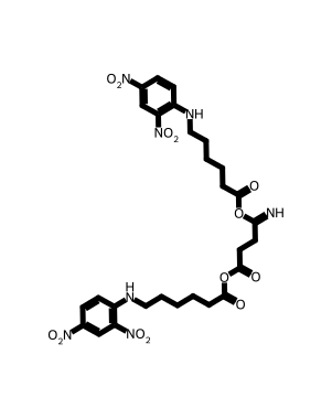 N=C(CCC(=O)OC(=O)CCCCCNc1ccc([N+](=O)[O-])cc1[N+](=O)[O-])OC(=O)CCCCCNc1ccc([N+](=O)[O-])cc1[N+](=O)[O-]